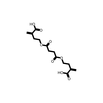 C=C(CCOC(=O)CCC(=O)OCCC(=C)C(=O)O)C(=O)O